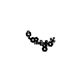 O=C(C[C@@H](NS(=O)(=O)c1cccc(C(F)(F)F)c1)c1ccccc1)N[C@@H]1CCc2cc(CN3CCOCC3)ccc21